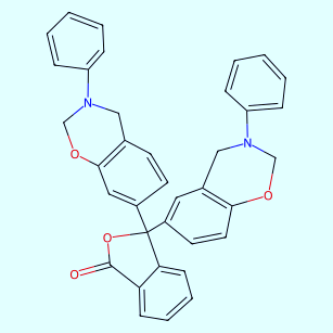 O=C1OC(c2ccc3c(c2)CN(c2ccccc2)CO3)(c2ccc3c(c2)OCN(c2ccccc2)C3)c2ccccc21